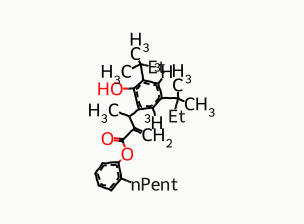 [3H]c1c(C(C)C(=C)C(=O)Oc2ccccc2CCCCC)c(O)c(C(C)(C)CC)c([3H])c1C(C)(C)CC